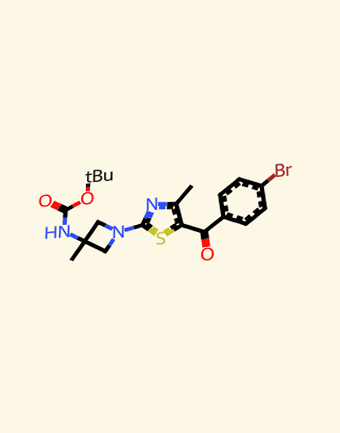 Cc1nc(N2CC(C)(NC(=O)OC(C)(C)C)C2)sc1C(=O)c1ccc(Br)cc1